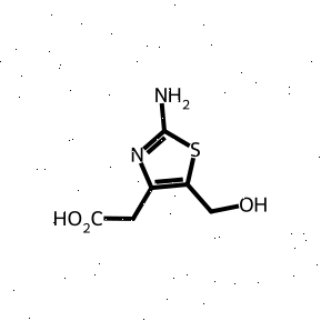 Nc1nc(CC(=O)O)c(CO)s1